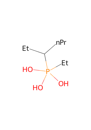 CCCC(CC)P(O)(O)(O)CC